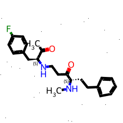 CN[C@@H](CCc1ccccc1)C(=O)CCN[C@@H](Cc1ccc(F)cc1)C(C)=O